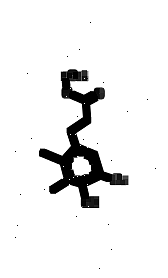 CCCCCCCCOC(=O)CCc1cc(C(C)(C)C)c(O)c(C)c1C